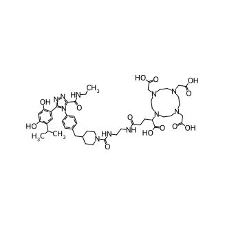 CCNC(=O)c1nnc(-c2cc(C(C)C)c(O)cc2O)n1-c1ccc(CC2CCN(C(=O)NCCNC(=O)CCC(C(=O)O)N3CCN(CC(=O)O)CCN(CC(=O)O)CCN(CC(=O)O)CC3)CC2)cc1